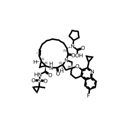 CC1(S(=O)(=O)NC(=O)[C@@]23C[C@H]2/C=C\CCCCC[C@H](N(C(=O)O)C2CCCC2)C(=O)N2C[C@@]4(CCc5c(c(C6CC6)nc6ccc(F)cc56)O4)C[C@H]2C(=O)N3)CC1